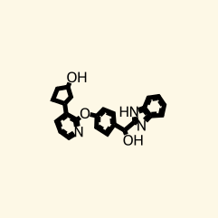 OC1CCC(c2cccnc2Oc2ccc(C(O)c3nc4ccccc4[nH]3)cc2)C1